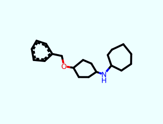 c1ccc(COC2CCC(NC3CCCCCC3)CC2)cc1